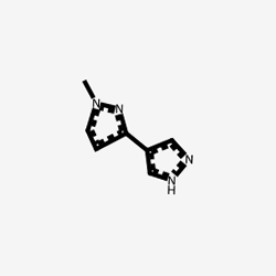 Cn1ccc(-c2cn[nH]c2)n1